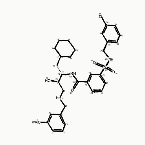 COc1cccc(CNC[C@@H](O)[C@H](CC2CCCCC2)NC(=O)c2cccc(S(=O)(=O)NCc3cccc(Cl)c3)c2)c1